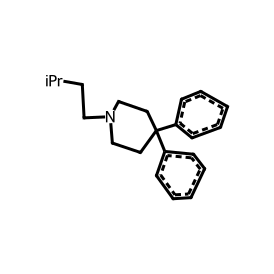 CC(C)CCN1CCC(c2ccccc2)(c2ccccc2)CC1